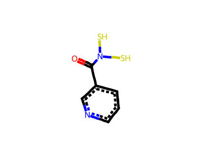 O=C(c1cccnc1)N(S)S